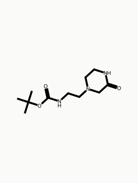 CC(C)(C)OC(=O)NCCN1CCNC(=O)C1